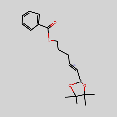 CC1(C)OB(/C=C/CCCOC(=O)c2ccccc2)OC1(C)C